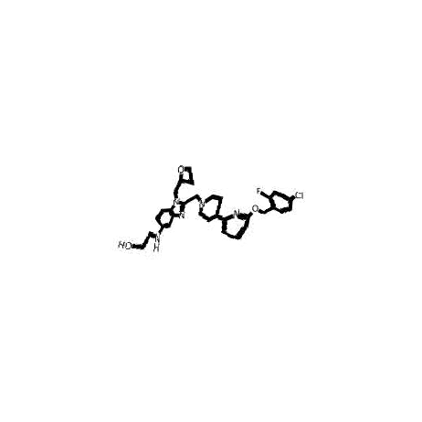 OCCNc1ccc2c(c1)nc(CN1CCC(c3cccc(OCc4ccc(Cl)cc4F)n3)CC1)n2CC1CCO1